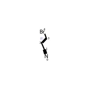 N#C/C=C/Br